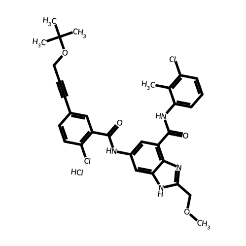 COCc1nc2c(C(=O)Nc3cccc(Cl)c3C)cc(NC(=O)c3cc(C#CCOC(C)(C)C)ccc3Cl)cc2[nH]1.Cl